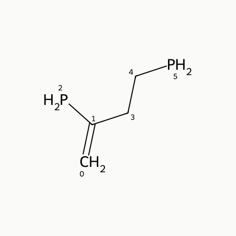 C=C(P)CCP